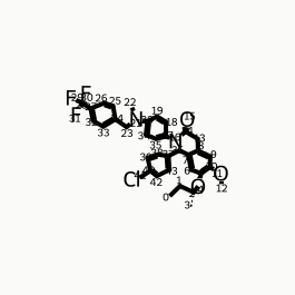 CC[C@@H](C)Oc1cc2c(cc1OC)CC(=O)N(c1ccc(N(C)Cc3ccc(C(F)(F)F)cc3)cc1)C2c1ccc(Cl)cc1